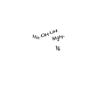 [LiH].[MgH+].[Mn].[Ni].[OH-]